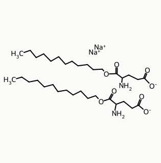 CCCCCCCCCCCCOC(=O)C(N)CCC(=O)[O-].CCCCCCCCCCCCOC(=O)C(N)CCC(=O)[O-].[Na+].[Na+]